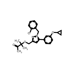 CC(=O)C(C)(C)OCc1cc(-c2cccc(OC3CC3)c2)n(Cc2ccccc2Cl)n1